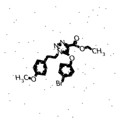 CCOC(=O)c1nnn(CCc2ccc(OC)cc2)c1Oc1ccc(Br)cc1